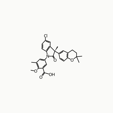 COc1c(C)cc(N2C(=O)[C@@](C)(c3ccc4c(c3)CCC(C)(C)O4)c3cc(Cl)ccc32)cc1C(=O)O